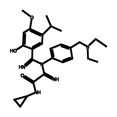 CCN(CC)Cc1ccc(N(C(=N)C(=O)NC2CC2)C(=N)c2cc(C(C)C)c(OC)cc2O)cc1